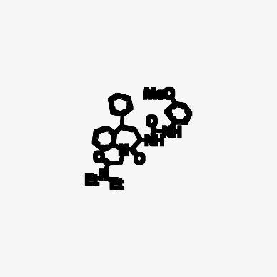 CCN(CC)C(=O)CN1C(=O)C(NC(=O)Nc2cccc(OC)c2)C=C(c2ccccc2)c2ccccc21